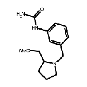 COCC1CCCN1Cc1[c]ccc(NC(N)=O)c1